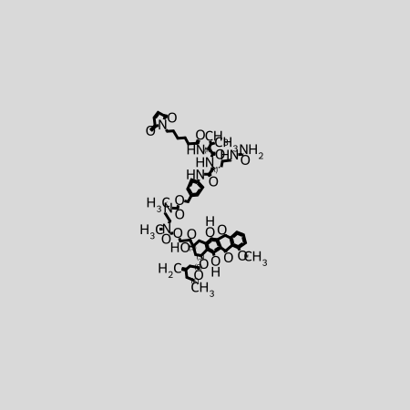 C=C1C[C@H](O[C@H]2C[C@](O)(C(=O)COC(=O)N(C)CCN(C)C(=O)OCc3ccc(NC(=O)[C@@H](CCCNC(N)=O)NC(=O)[C@H](NC(=O)CCCCCN4C(=O)C=CC4=O)C(C)C)cc3)Cc3c(O)c4c(c(O)c32)C(=O)c2c(OC)cccc2C4=O)O[C@@H](C)C1